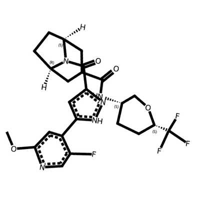 COc1cc(-c2cc(C(=O)N3[C@@H]4CC[C@H]3CC(C(=O)N[C@H]3CC[C@@H](C(F)(F)F)OC3)C4)n[nH]2)c(F)cn1